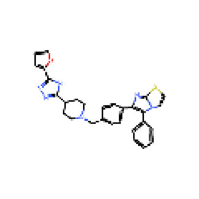 c1ccc(-c2c(-c3ccc(CN4CCC(c5nnc(-c6ccco6)[nH]5)CC4)cc3)nc3sccn23)cc1